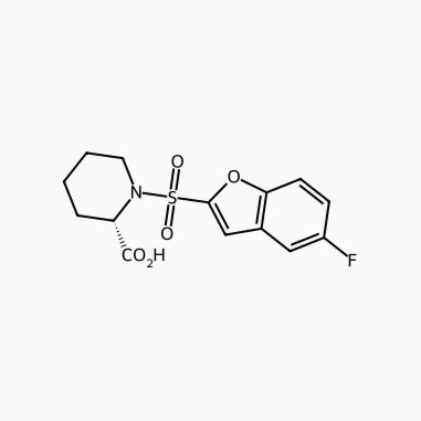 O=C(O)[C@@H]1CCCCN1S(=O)(=O)c1cc2cc(F)ccc2o1